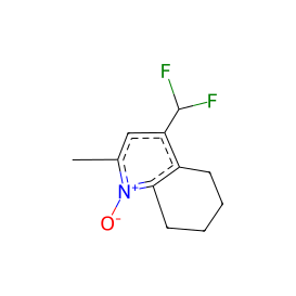 Cc1cc(C(F)F)c2c([n+]1[O-])CCCC2